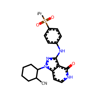 CC(C)S(=O)(=O)c1ccc(Nc2nn(C3CCCCC3C#N)c3cc[nH]c(=O)c23)cc1